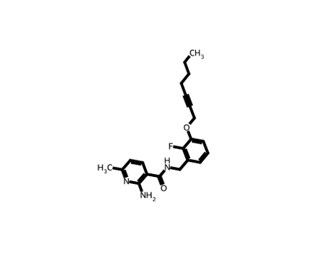 CCCCC#CCOc1cccc(CNC(=O)c2ccc(C)nc2N)c1F